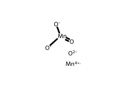 [Mn+4].[O-2].[O]=[Mn]([O-])[O-]